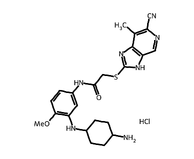 COc1ccc(NC(=O)CSc2nc3c(C)c(C#N)ncc3[nH]2)cc1NC1CCC(N)CC1.Cl